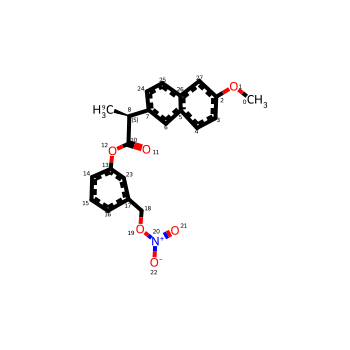 COc1ccc2cc([C@H](C)C(=O)Oc3cccc(CO[N+](=O)[O-])c3)ccc2c1